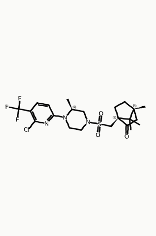 C[C@H]1CN(S(=O)(=O)C[C@]23CC[C@](C)(CC2=O)C3(C)C)CCN1c1ccc(C(F)(F)F)c(Cl)n1